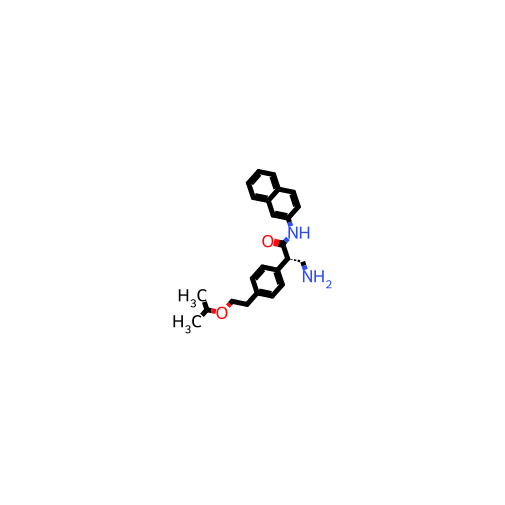 CC(C)OCCc1ccc([C@@H](CN)C(=O)Nc2ccc3ccccc3c2)cc1